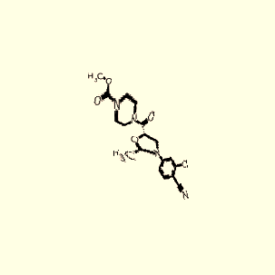 COC(=O)N1CCN(C(=O)[C@@H]2CN(c3ccc(C#N)c(Cl)c3)[C@@H](C)O2)CC1